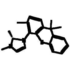 Cc1ccc2c(c1N1C=CN(C)[C@@H]1C)Sc1ccccc1C2(C)C